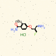 CCCCc1cc(OC/C(=C\F)CN)ccc1C(N)=O.Cl